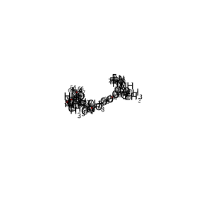 Cc1nn(CCOCCOCCOCCOC[C@H]2OC[C@H](Nc3cncc(C(F)(F)F)n3)C3OC(C)(C)OC32)c(C)c1-c1ccc(NC(=O)[C@@H](NC(=O)c2ccnn2C(C)C)C(C2CC2)C2CC2)cc1